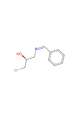 O[C@H](CCl)C/N=C\c1ccccc1